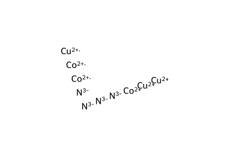 [Co+2].[Co+2].[Co+2].[Cu+2].[Cu+2].[Cu+2].[N-3].[N-3].[N-3].[N-3]